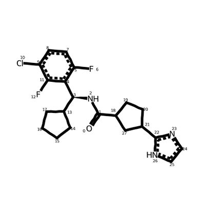 O=C(N[C@H](c1c(F)ccc(Cl)c1F)C1CCCC1)C1CCC(c2ncc[nH]2)C1